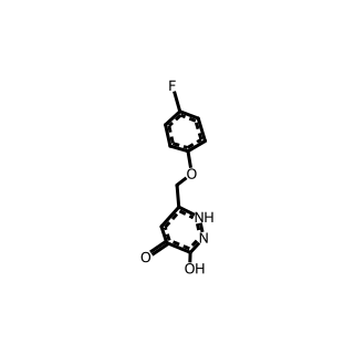 O=c1cc(COc2ccc(F)cc2)[nH]nc1O